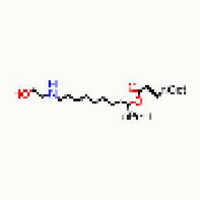 CCCCCCCCC=CC(=O)OC(CCCCC)CCCCCCCCNCCO